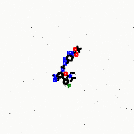 CCN(C(=O)c1cc(F)ccc1-c1cc(N2CC(NCC3CCC(NC(=O)OC(C)(C)C)CC3)C2)cc2c1cnn2C)C(C)C